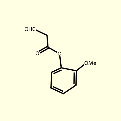 COc1ccccc1OC(=O)CC=O